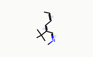 C\C=C/C=C(\C=N/C)C(C)(C)C